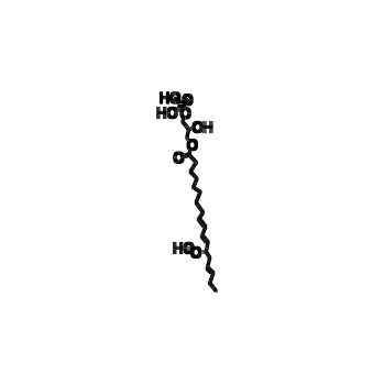 CCC=CCC(C=CC=CCCCCCCCC(=O)OCC(O)COP(=O)(O)O)OO